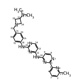 Cc1cccc(-c2nccc(Nc3ccnc(Nc4ccc(CN5CC(N(C)C)C5)cc4)n3)n2)n1